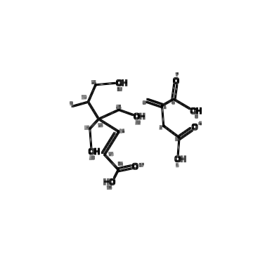 C=C(CC(=O)O)C(=O)O.CC(CO)C(C=CC(=O)O)(CO)CO